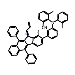 C=C/C=C1\c2c(ccc(-c3cccc(N(c4ccccc4C)c4c(C)cccc4C#N)c3)c2C)-c2c1c(-c1ccccc1)c1ccccc1c2-c1ccccc1